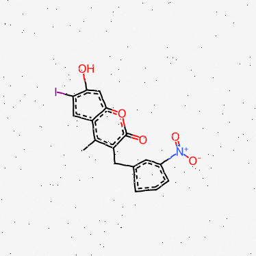 Cc1c(Cc2cccc([N+](=O)[O-])c2)c(=O)oc2cc(O)c(I)cc12